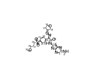 CNc1cnc2nc(NC(=O)/C(=N/O[C@@H]3CCOC3)c3ccc(S(=O)(=O)CCCOC)cc3)sc2n1